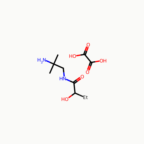 CCC(O)C(=O)NCC(C)(C)N.O=C(O)C(=O)O